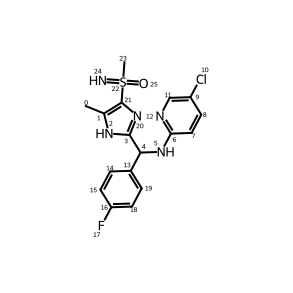 Cc1[nH]c(C(Nc2ccc(Cl)cn2)c2ccc(F)cc2)nc1S(C)(=N)=O